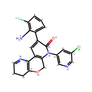 Nc1c(F)cccc1-c1cc2c(n(-c3cncc(Cl)c3)c1=O)COC1=C2N=CCC1